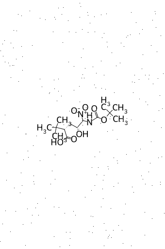 CC(C)(C)OC(=O)NC([C@H](O)C[C@H](C(=O)O)C(C)(C)C)[N+](=O)[O-]